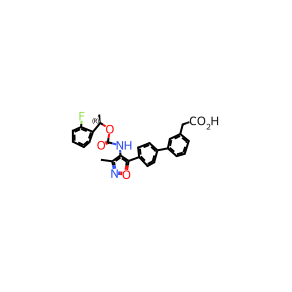 Cc1noc(-c2ccc(-c3cccc(CC(=O)O)c3)cc2)c1NC(=O)O[C@H](C)c1ccccc1F